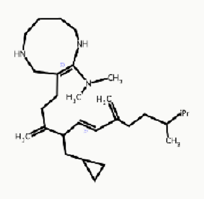 C=C(/C=C/C(CC1CC1)C(=C)CC/C1=C(\N(C)C)NCCCCNC1)CCC(C)C(C)C